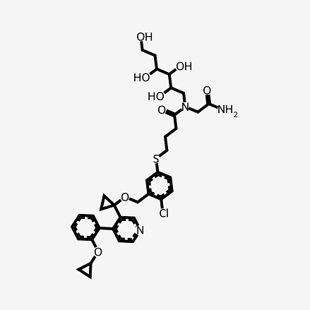 NC(=O)CN(CC(O)C(O)C(O)CCO)C(=O)CCCSc1ccc(Cl)c(COC2(c3cnccc3-c3ccccc3OC3CC3)CC2)c1